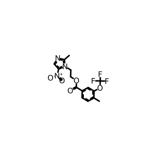 Cc1ccc(C(=O)OCCn2c([N+](=O)[O-])cnc2C)cc1OC(F)(F)F